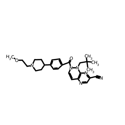 COCCN1CCC(c2ccc(C(=O)N3C=Cc4ncc(C#N)nc4N3CC(C)(C)C)cc2)CC1